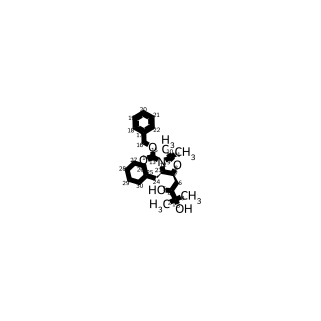 CC(C)(O)C(O)C[C@@H]1OC(C)(C)N(C(=O)OCc2ccccc2)[C@H]1CC1CCCCC1